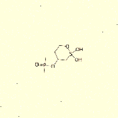 CP(C)(=O)OC1CCOS(O)(O)C1